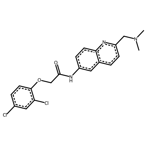 CN(C)Cc1ccc2cc(NC(=O)COc3ccc(Cl)cc3Cl)ccc2n1